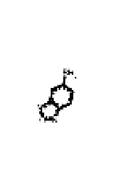 Bc1ccc2nonc2c1